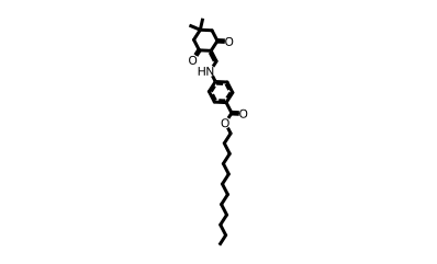 CCCCCCCCCCCCOC(=O)c1ccc(NC=C2C(=O)CC(C)(C)CC2=O)cc1